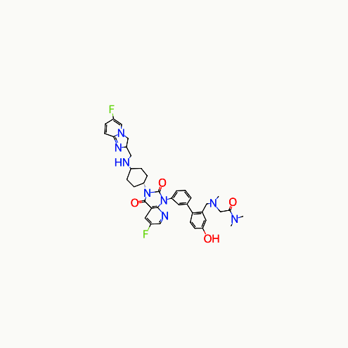 CN(CC(=O)N(C)C)Cc1cc(O)ccc1-c1cccc(-n2c(=O)n([C@H]3CC[C@@H](NCC4CN5C=C(F)C=CC5=N4)CC3)c(=O)c3cc(F)cnc32)c1